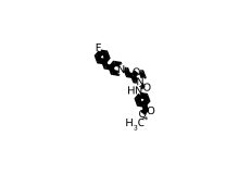 CCOC(=O)c1ccc(NC(=O)N2CCOC(CCN3CCC(Cc4ccc(F)cc4)CC3)C2)cc1